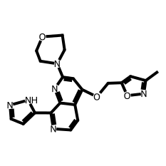 Cc1cc(COc2cc(N3CCOCC3)nc3c(-c4ccn[nH]4)nccc23)on1